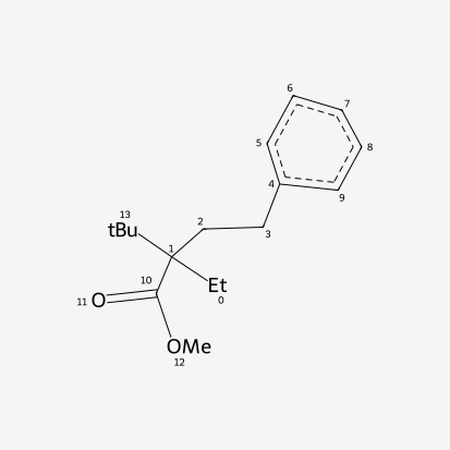 CCC(CCc1ccccc1)(C(=O)OC)C(C)(C)C